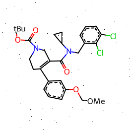 COCOc1cccc(C2=C(C(=O)N(Cc3cccc(Cl)c3Cl)C3CC3)CN(C(=O)OC(C)(C)C)CC2)c1